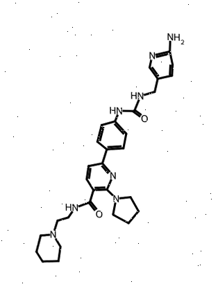 Nc1ccc(CNC(=O)Nc2ccc(-c3ccc(C(=O)NCCN4CCCCC4)c(N4CCCC4)n3)cc2)cn1